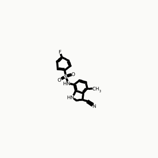 Cc1ccc(NS(=O)(=O)c2ccc(F)cc2)c2c1C(C#N)CN2